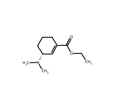 CCOC(=O)C1=C[C@H](N(C)C)CCC1